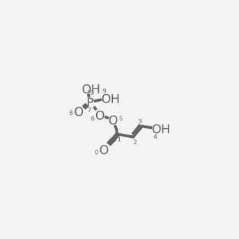 O=C(C=CO)OOP(=O)(O)O